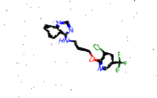 FC(F)(F)c1cnc(OCCCNc2ncnc3ccccc23)c(Cl)c1